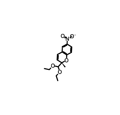 CCOC(OCC)[C@]1(C)C=Cc2cc([N+](=O)[O-])ccc2O1